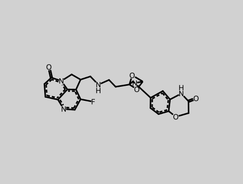 O=C1COc2ccc(N3CC4(CCNCC5Cn6c(=O)ccc7ncc(F)c5c76)OC3O4)cc2N1